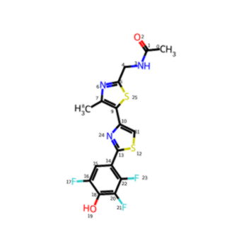 CC(=O)NCc1nc(C)c(-c2csc(-c3cc(F)c(O)c(F)c3F)n2)s1